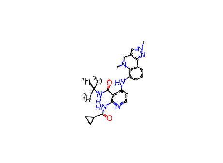 [2H]C([2H])([2H])NC(=O)c1c(Nc2cccc3c2N(C)Cc2cn(C)nc2-3)ccnc1NC(=O)C1CC1